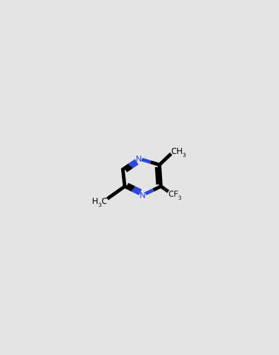 Cc1cnc(C)c(C(F)(F)F)n1